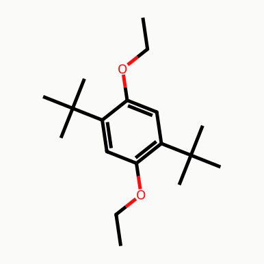 CCOc1cc(C(C)(C)C)c(OCC)cc1C(C)(C)C